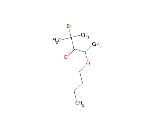 CCCCOC(C)C(=O)C(C)(C)Br